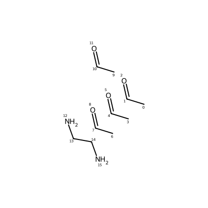 CC=O.CC=O.CC=O.CC=O.NCCN